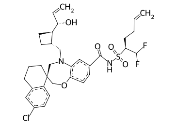 C=CCC[C@@H](C(F)F)S(=O)(=O)NC(=O)c1ccc2c(c1)N(C[C@@H]1CC[C@H]1[C@@H](O)C=C)C[C@@]1(CCCc3cc(Cl)ccc31)CO2